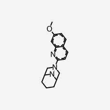 COc1ccc2ccc(N3CC4CCCC(C3)N4C)nc2c1